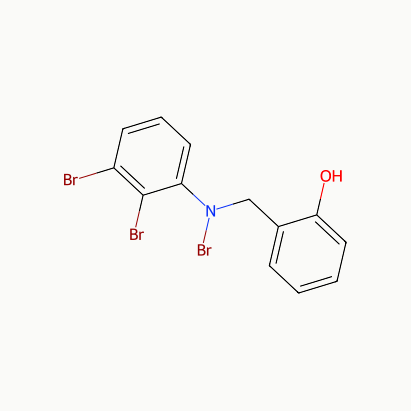 Oc1ccccc1CN(Br)c1cccc(Br)c1Br